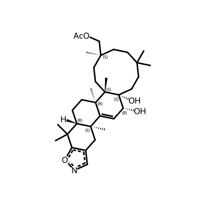 CC(=O)OC[C@@]1(C)CCC(C)(C)CC[C@@]2(O)[C@H](O)C=C3[C@@]4(C)Cc5cnoc5C(C)(C)[C@@H]4CC[C@@]3(C)[C@]2(C)CC1